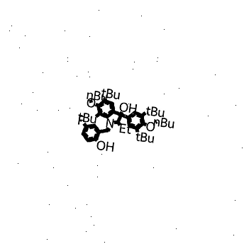 CCCCOc1c(C(C)(C)C)cc(C(O)(c2cc(C(C)(C)C)c(OCCCC)c(C(C)(C)C)c2)C(CC)N=Cc2cc(F)ccc2O)cc1C(C)(C)C